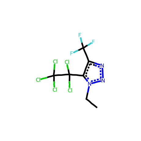 CCn1nnc(C(F)(F)F)c1C(Cl)(Cl)C(Cl)(Cl)Cl